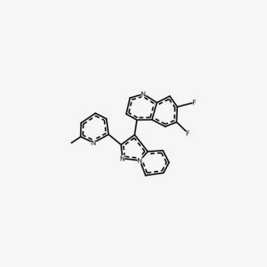 Cc1cccc(-c2nn3ccccc3c2-c2ccnc3cc(F)c(F)cc23)n1